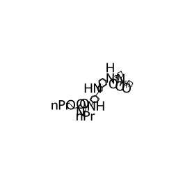 CCCOCC(=O)N(CCC)CC(=O)Nc1ccc(-c2cc3cc(NC(=O)[C@@H]4CCCN4C(=O)[C@@H]4CCCO4)ccc3[nH]2)cc1